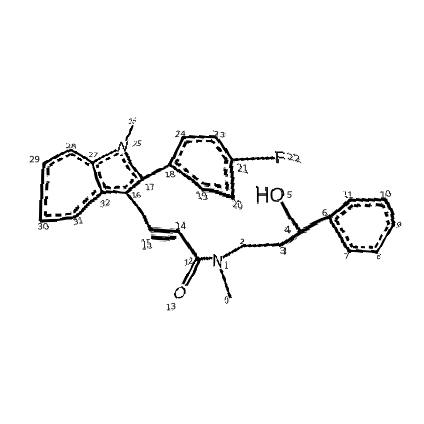 CN(CCC(O)c1ccccc1)C(=O)/C=C/c1c(-c2ccc(F)cc2)n(C)c2ccccc12